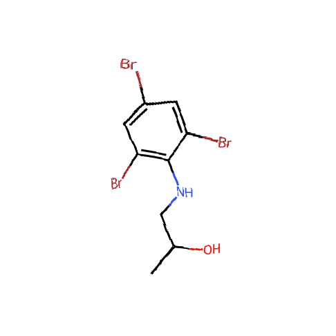 CC(O)CNc1c(Br)cc(Br)cc1Br